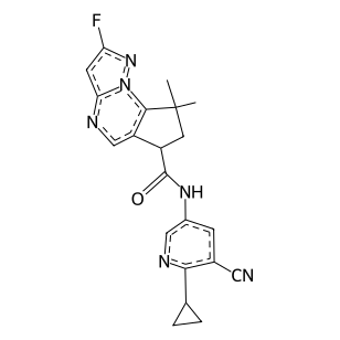 CC1(C)CC(C(=O)Nc2cnc(C3CC3)c(C#N)c2)c2cnc3cc(F)nn3c21